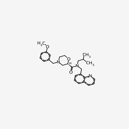 COc1cccc(CN2CCO[C@@H](C(=O)N(Cc3cccc4cccnc34)CC(C)C)C2)c1